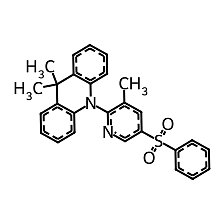 Cc1cc(S(=O)(=O)c2ccccc2)cnc1N1c2ccccc2C(C)(C)c2ccccc21